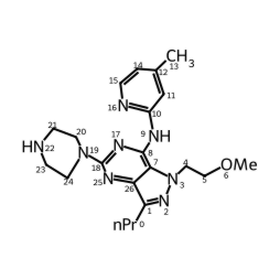 CCCc1nn(CCOC)c2c(Nc3cc(C)ccn3)nc(N3CCNCC3)nc12